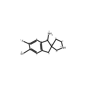 CCc1cc2c(cc1F)C(N)C1(CCNC1)C2